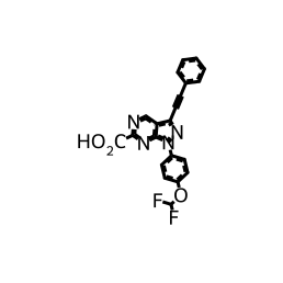 O=C(O)c1ncc2c(C#Cc3ccccc3)nn(-c3ccc(OC(F)F)cc3)c2n1